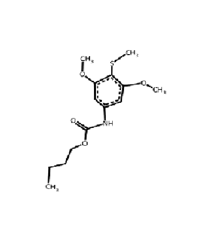 CCCCOC(=O)Nc1cc(OC)c(SC)c(OC)c1